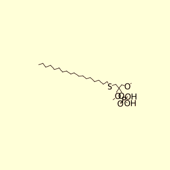 CCCCCCCCCCCCCCCCCCSCC(COC)(COC)COP(=O)(O)O